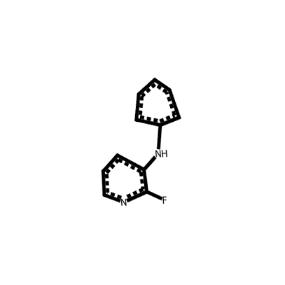 Fc1ncccc1Nc1ccccc1